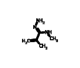 C=C(C)/C(=N/N)NC